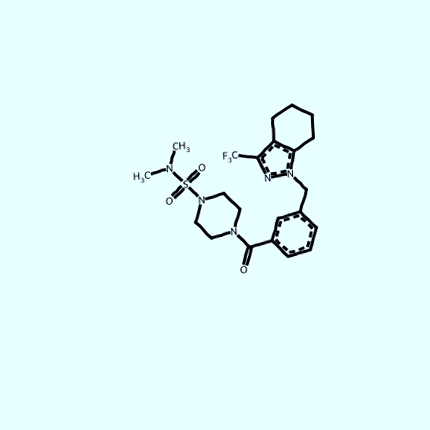 CN(C)S(=O)(=O)N1CCN(C(=O)c2cccc(Cn3nc(C(F)(F)F)c4c3CCCC4)c2)CC1